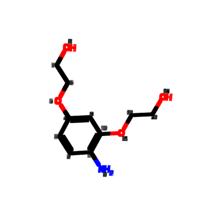 Nc1ccc(OCCO)cc1OCCO